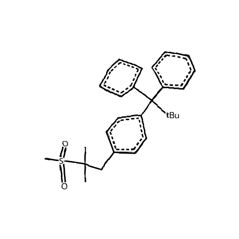 CC(C)(C)C(c1ccccc1)(c1ccccc1)c1ccc(CC(C)(C)S(C)(=O)=O)cc1